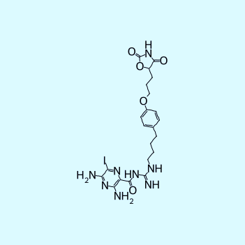 N=C(NCCCCc1ccc(OCCCC2OC(=O)NC2=O)cc1)NC(=O)c1nc(I)c(N)nc1N